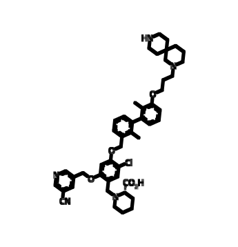 Cc1c(COc2cc(OCc3cncc(C#N)c3)c(CN3CCCC[C@H]3C(=O)O)cc2Cl)cccc1-c1cccc(OCCCN2CCCC3(CCNCC3)C2)c1C